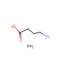 NCCCC(=O)O.[SnH2]